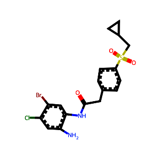 Nc1cc(Cl)c(Br)cc1NC(=O)Cc1ccc(S(=O)(=O)CC2CC2)cc1